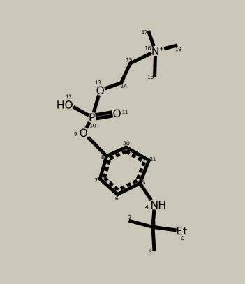 CCC(C)(C)Nc1ccc(OP(=O)(O)OCC[N+](C)(C)C)cc1